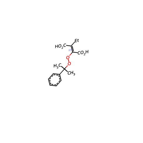 CC/C(C(=O)O)=C(/OOC(C)(C)c1ccccc1)C(=O)O